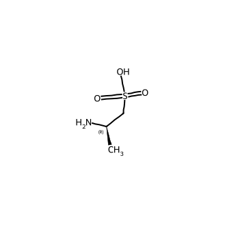 C[C@@H](N)CS(=O)(=O)O